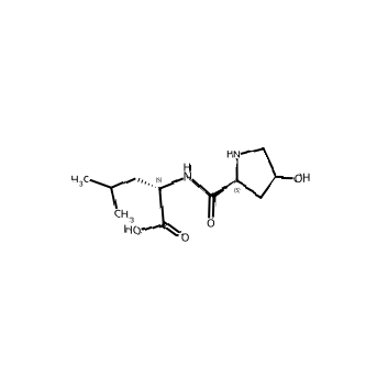 CC(C)C[C@H](NC(=O)[C@@H]1CC(O)CN1)C(=O)O